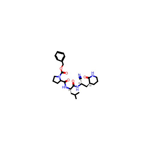 CC(C)C[C@H](NC(=O)C1CCCN1C(=O)OCc1ccccc1)C(=O)N[C@H](C#N)C[C@@H]1CCCNC1=O